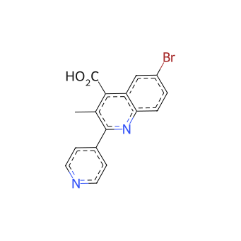 Cc1c(-c2ccncc2)nc2ccc(Br)cc2c1C(=O)O